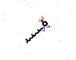 COC(=O)c1ccc(OC)c(NC/C=C(\C)CC/C=C(\C)CCC=C(C)C)c1